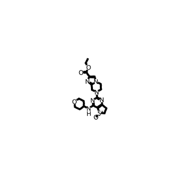 CCOC(=O)c1cn2c(n1)CN(c1nc3c(c(NC4CCOCC4)n1)[S+]([O-])CC3)CC2